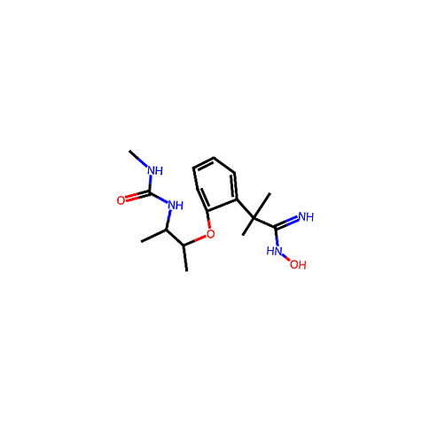 CNC(=O)NC(C)C(C)Oc1ccccc1C(C)(C)C(=N)NO